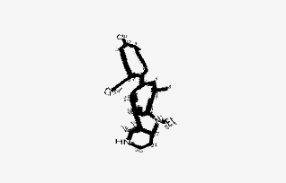 CCN1c2c(C)cc(-c3ccc(Cl)cc3Cl)cc2C2CNCCC21